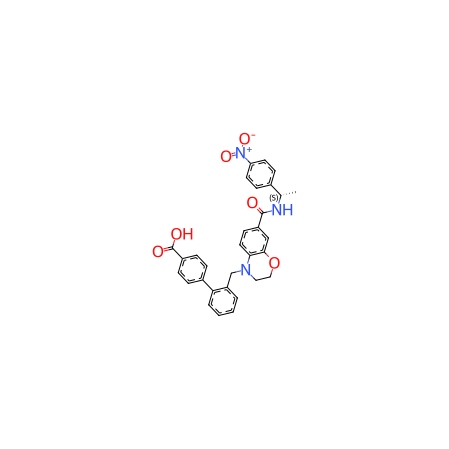 C[C@H](NC(=O)c1ccc2c(c1)OCCN2Cc1ccccc1-c1ccc(C(=O)O)cc1)c1ccc([N+](=O)[O-])cc1